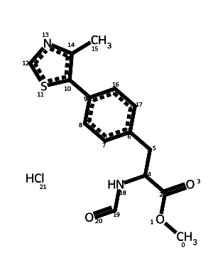 COC(=O)C(Cc1ccc(-c2scnc2C)cc1)NC=O.Cl